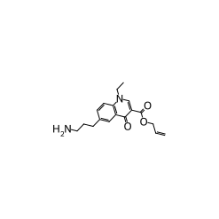 C=CCOC(=O)c1cn(CC)c2ccc(CCCN)cc2c1=O